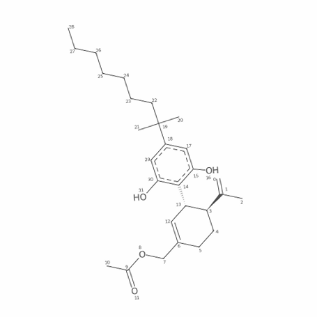 C=C(C)[C@H]1CCC(COC(C)=O)=C[C@@H]1c1c(O)cc(C(C)(C)CCCCCCC)cc1O